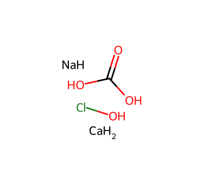 O=C(O)O.OCl.[CaH2].[NaH]